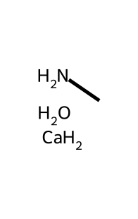 CN.O.[CaH2]